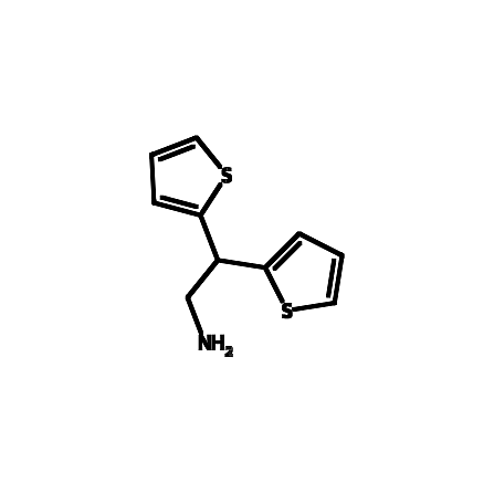 NCC(c1cccs1)c1cccs1